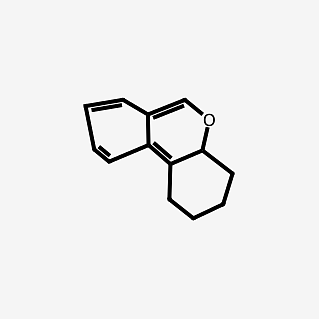 C1=c2ccccc2=C2CCCCC2O1